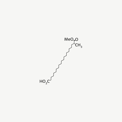 COC(=O)C(C)CCCCCCCCCCCCCCCCCCC(=O)O